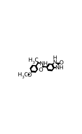 COc1ccc(C(C)NC(=O)c2ccc3[nH]c(=O)[nH]c3c2)cc1